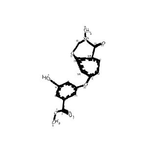 COC(=O)c1cc(O)cc(Oc2ccc3c(c2)OCN(C)C3=O)c1